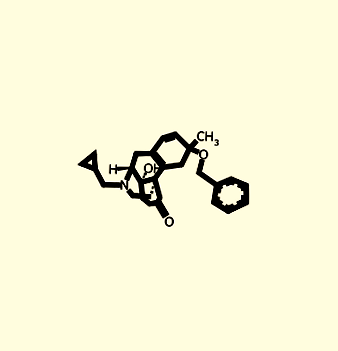 CC1(OCc2ccccc2)C=CC2=C(C1)[C@]13CCN(CC4CC4)[C@H](C2)[C@]1(O)CCC(=O)C3